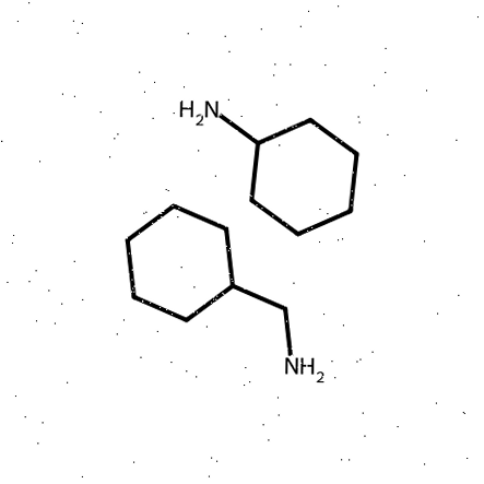 NC1CCCCC1.NCC1CCCCC1